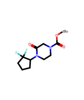 CC(C)(C)OC(=O)N1CCN(C2CCCC2(F)F)C(=O)C1